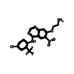 NCCOc1cc2ncnc(Nc3ccc(Cl)cc3C(F)(F)F)c2cc1[N+](=O)[O-]